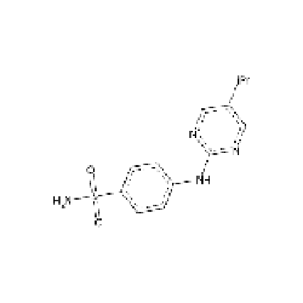 CC(C)c1cnc(Nc2ccc(S(N)(=O)=O)cc2)nc1